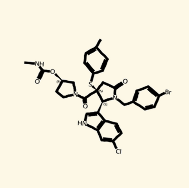 CNC(=O)O[C@@H]1CCN(C(=O)[C@]2(Sc3ccc(C)cc3)CC(=O)N(Cc3ccc(Br)cc3)[C@H]2c2c[nH]c3cc(Cl)ccc23)C1